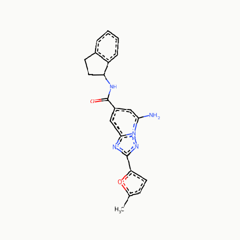 Cc1ccc(-c2nc3cc(C(=O)NC4CCc5ccccc54)cc(N)n3n2)o1